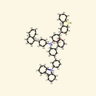 c1ccc(-c2cc(-c3cccc(-n4c5ccccc5c5ccccc54)c3)ccc2N(c2ccc(-c3ccc4sc5ccccc5c4c3)cc2)c2ccc(-c3cccc4ccccc34)cc2)cc1